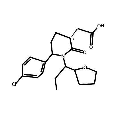 CCC(C1CCCO1)N1C(=O)[C@@H](CC(=O)O)CCC1c1ccc(Cl)cc1